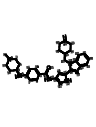 CN1CCC(Nc2ccc(C(=O)Nc3cc(-c4nc5ccccc5n4CC4CCNCC4)[nH]n3)cc2)CC1